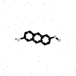 CCOc1ccc2cc3cc(C)ccc3cc2c1